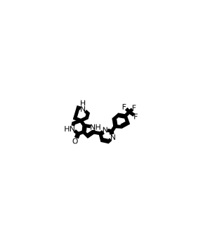 O=C1NCC2(CCNCC2)c2[nH]c(-c3ccnc(-c4ccc(C(F)(F)F)cc4)n3)cc21